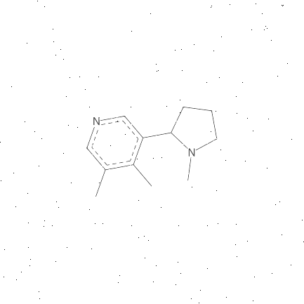 Cc1cncc(C2CCCN2C)c1C